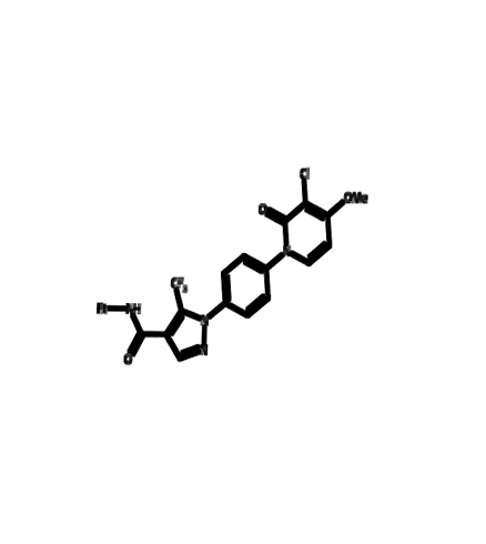 CCNC(=O)c1cnn(-c2ccc(-n3ccc(OC)c(Cl)c3=O)cc2)c1C(F)(F)F